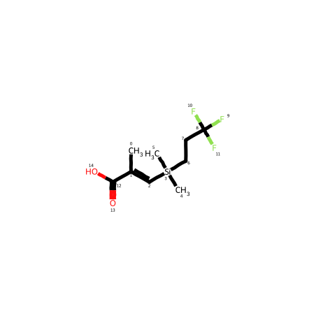 C/C(=C\[Si](C)(C)CCC(F)(F)F)C(=O)O